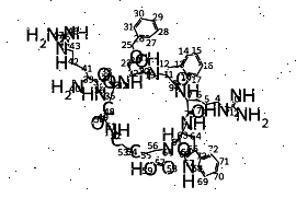 N=C(N)NCCC[C@@H]1NC(=O)[C@@H](Cc2ccccc2)NC(=O)[C@H](COCc2ccccc2)NC(=O)[C@@H](NC(=O)[C@@H](N)CCCNC(=N)N)CC(=O)NCCCC[C@@H](C(=O)O)NC(=O)[C@H](Cc2c[nH]c3ccccc23)NC1=O